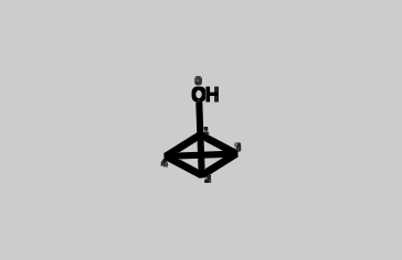 OC12C3C1C32